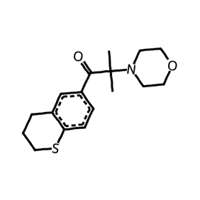 CC(C)(C(=O)c1ccc2c(c1)CCCS2)N1CCOCC1